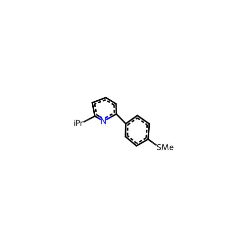 CSc1ccc(-c2cccc(C(C)C)n2)cc1